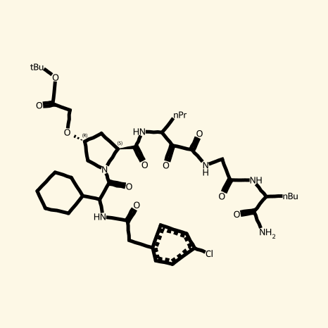 CCCCC(NC(=O)CNC(=O)C(=O)C(CCC)NC(=O)[C@@H]1C[C@@H](OCC(=O)OC(C)(C)C)CN1C(=O)C(NC(=O)Cc1ccc(Cl)cc1)C1CCCCC1)C(N)=O